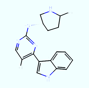 CC(C)C1CC[C@H](Nc2ncc(C(F)(F)F)c(-c3c[nH]c4ccccc34)n2)CN1